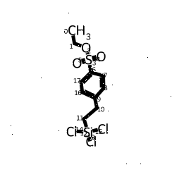 CCOS(=O)(=O)c1ccc(CC[Si](Cl)(Cl)Cl)cc1